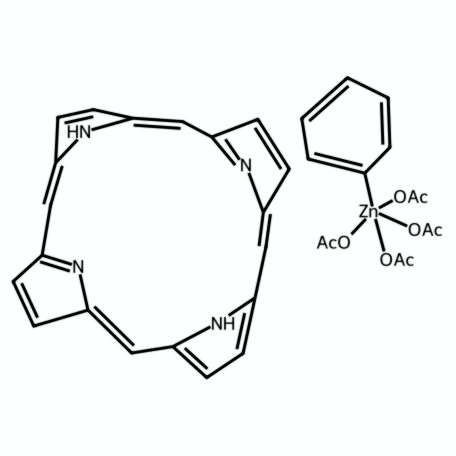 C1=Cc2cc3ccc(cc4nc(cc5ccc(cc1n2)[nH]5)C=C4)[nH]3.CC(=O)[O][Zn]([O]C(C)=O)([O]C(C)=O)([O]C(C)=O)[c]1ccccc1